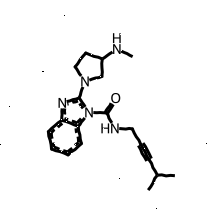 CNC1CCN(c2nc3ccccc3n2C(=O)NCC#CC(C)C)C1